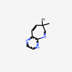 CC(C)C1(C)C=Cc2nccnc2N=C1